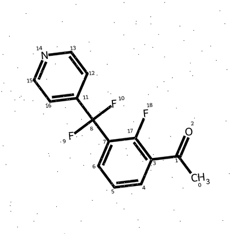 CC(=O)c1cccc(C(F)(F)c2ccncc2)c1F